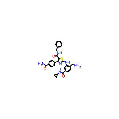 NCc1ccc(C(=O)NC2CC2)cc1Nc1nc(-c2ccc(C(N)=O)cc2)c(C(=O)NCc2ccccc2)s1